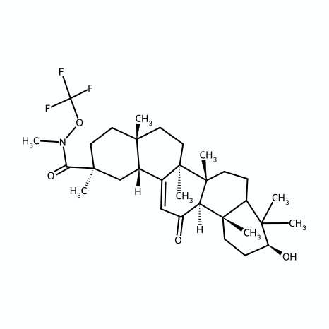 CN(OC(F)(F)F)C(=O)[C@@]1(C)CC[C@]2(C)CC[C@]3(C)C(=CC(=O)[C@@H]4[C@@]5(C)CC[C@H](O)C(C)(C)C5CC[C@]43C)[C@@H]2C1